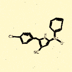 N#Cc1cc([S+]([O-])c2ccccc2)[nH]c1-c1ccc(Cl)cc1